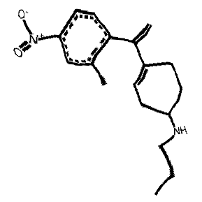 C=C(C1=CCC(NCCC)CC1)c1ccc([N+](=O)[O-])cc1C